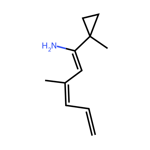 C=C/C=C(C)\C=C(/N)C1(C)CC1